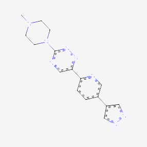 CN1CCN(c2ncc(-c3ccc(-c4cn[nH]c4)cn3)nn2)CC1